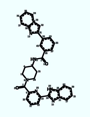 O=C(NC1CCN(C(=O)c2cccc(-c3nc4ccccc4[nH]3)n2)CC1)c1cccc(-c2cn3ccccc3n2)c1